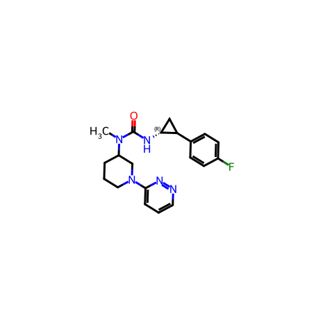 CN(C(=O)N[C@@H]1CC1c1ccc(F)cc1)C1CCCN(c2cccnn2)C1